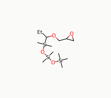 CCC(OCC1CO1)[Si](C)(C)O[Si](C)(C)O[Si](C)(C)C